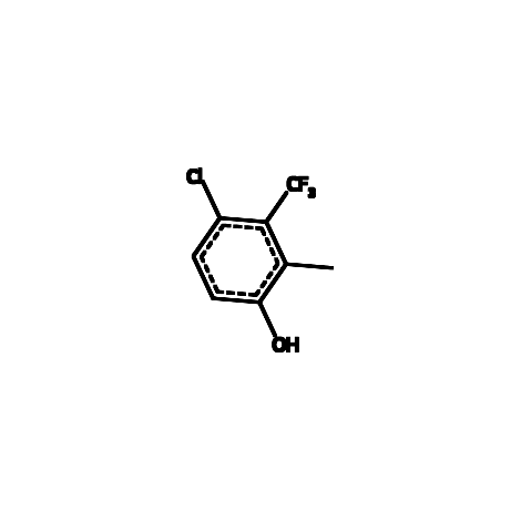 Cc1c(O)ccc(Cl)c1C(F)(F)F